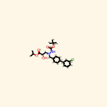 CC(C)OC(=O)[C@H](O)CN(Cc1ccc(-c2cccc(Cl)c2)cc1)NC(=O)OC(C)(C)C